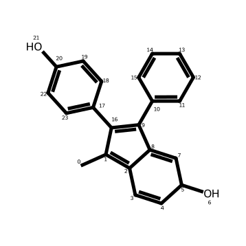 CC1=C2C=CC(O)C=C2C(c2ccccc2)=C1c1ccc(O)cc1